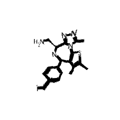 Cc1sc2c(c1C)C(c1ccc(CI)cc1)=N[C@@H](CN)c1nnc(C)n1-2